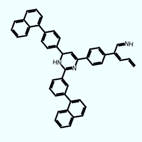 C=C/C=C(\C=N)c1ccc(C2=CC(c3ccc(-c4cccc5ccccc45)cc3)NC(c3cccc(-c4cccc5ccccc45)c3)=N2)cc1